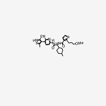 CCc1[nH]nc(C)c1-c1ccc(NC(=O)[C@@H](NC(=O)c2ccnn2CCCOC)C2CCC(C)CC2)nc1F